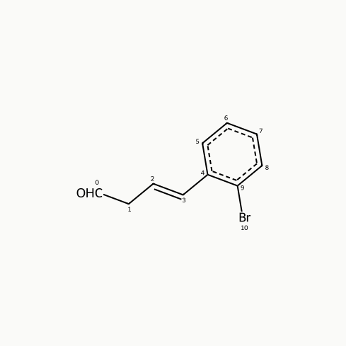 O=CCC=Cc1ccccc1Br